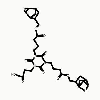 O=C(O)CCn1c(=O)n(CCCC(=O)OCC2CC3CC2C2OC32)c(=O)n(CCCC(=O)OCC2CC3CC24CC3O4)c1=O